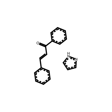 O=C(/C=C/c1ccccc1)c1ccccc1.c1cn[nH]c1